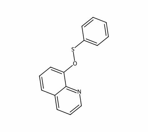 c1ccc(SOc2cccc3cccnc23)cc1